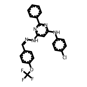 FC(F)(F)Oc1ccc(/C=N\Nc2cc(Nc3ccc(Cl)cc3)nc(-c3ccccc3)n2)cc1